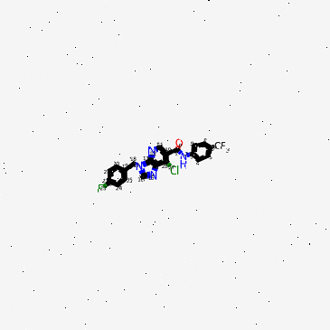 O=C(Nc1ccc(C(F)(F)F)cc1)c1cnc2c(ncn2Cc2ccc(F)cc2)c1Cl